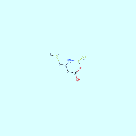 CSCC(CC(=O)O)NSS